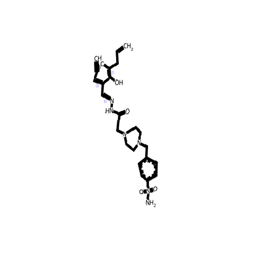 C#C/C=C(/C=N/NC(=O)CN1CCN(Cc2ccc(S(N)(=O)=O)cc2)CC1)C(\O)=C(/C)CC=C